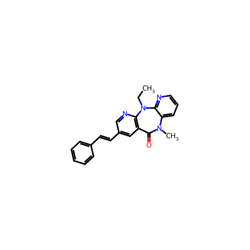 CCN1c2ncc(C=Cc3ccccc3)cc2C(=O)N(C)c2cccnc21